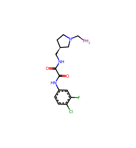 O=C(NC[C@H]1CCN(CP)C1)C(=O)Nc1ccc(Cl)c(F)c1